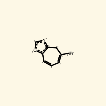 CC(C)C1=CC=Cc2ocnc2C1